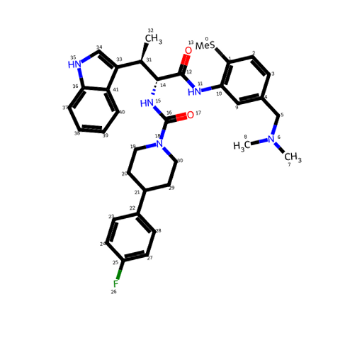 CSc1ccc(CN(C)C)cc1NC(=O)[C@H](NC(=O)N1CCC(c2ccc(F)cc2)CC1)[C@H](C)c1c[nH]c2ccccc12